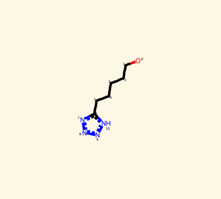 [O]CCCCCc1nnn[nH]1